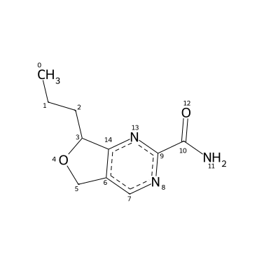 CCCC1OCc2cnc(C(N)=O)nc21